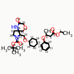 CCOC(=O)CC(C)Oc1ccccc1[C@H]1CC[C@@H](OCC2N(C(=O)OC(C)(C)C)CCC23COCC(=O)N3)CC1